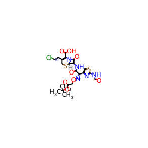 CC(C)(C)OC(=O)CO/N=C(\C(=O)NC1C(=O)N2C(C(=O)O)=C(/C=C/Cl)CS[C@H]12)c1csc(NC=O)n1